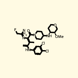 C=C(Nc1ccc(Cl)c(Cl)c1)/C(C)=C(\N=C(/N)CF)C(=O)N1CCC(N[C@H]2CCOC[C@H]2OC)CC1